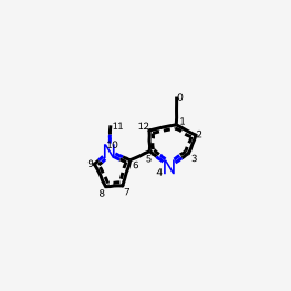 Cc1ccnc(-c2cccn2C)c1